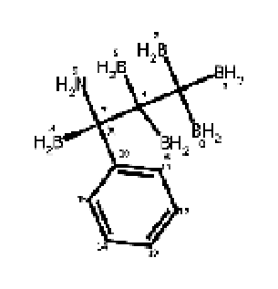 BC(B)(B)C(B)(B)[C@@](B)(N)c1ccccc1